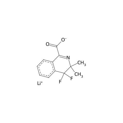 CC1(C)N=C(C(=O)[O-])c2ccccc2C1(F)F.[Li+]